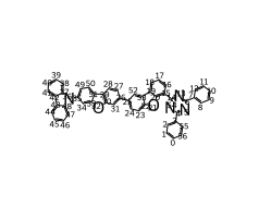 c1ccc(-c2nc(-c3ccccc3)nc(-c3cccc4c3oc3ccc(-c5ccc6c(c5)oc5cc(-n7c8ccccc8c8ccccc87)ccc56)cc34)n2)cc1